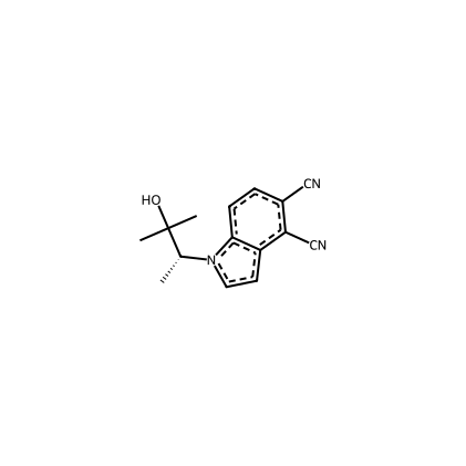 C[C@@H](n1ccc2c(C#N)c(C#N)ccc21)C(C)(C)O